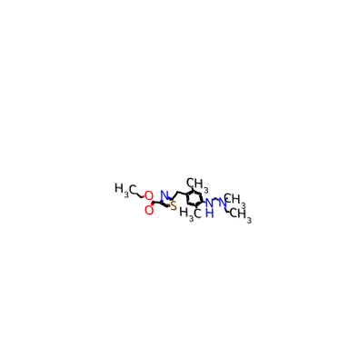 CCOC(=O)c1csc(Cc2cc(C)c(NCN(C)CC)cc2C)n1